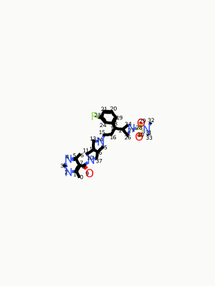 Cc1ncnc(C)c1C(=O)N1CC2CN(CCC(c3cccc(F)c3)C3CN(S(=O)(=O)N(C)C)C3)CC2C1